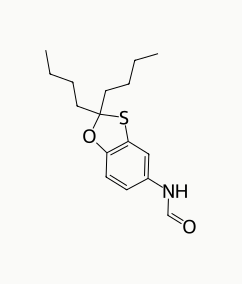 CCCCC1(CCCC)Oc2ccc(NC=O)cc2S1